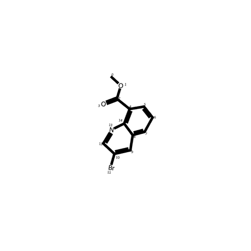 COC(=O)c1cccc2cc(Br)cnc12